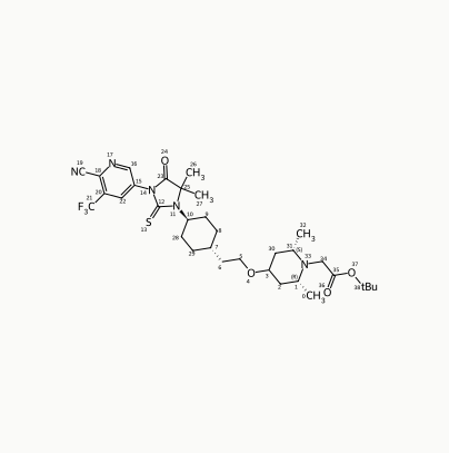 C[C@@H]1CC(OCC[C@H]2CC[C@H](N3C(=S)N(c4cnc(C#N)c(C(F)(F)F)c4)C(=O)C3(C)C)CC2)C[C@H](C)N1CC(=O)OC(C)(C)C